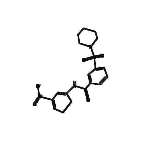 O=C(NC1=CC([N+](=O)[O-])=CCC1)c1cccc(S(=O)(=O)N2CCCCC2)c1